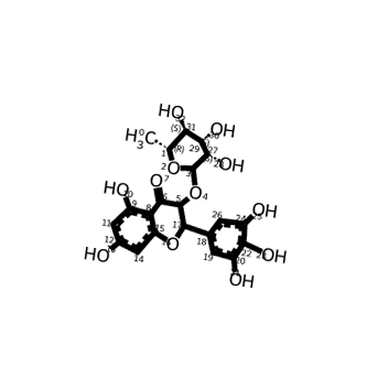 C[C@H]1OC(OC2C(=O)c3c(O)cc(O)cc3OC2c2cc(O)c(O)c(O)c2)[C@@H](O)[C@@H](O)[C@@H]1O